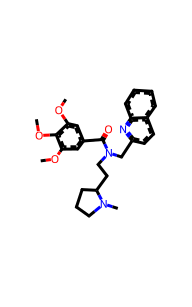 COc1cc(C(=O)N(CCC2CCCN2C)Cc2ccc3ccccc3n2)cc(OC)c1OC